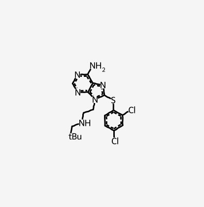 CC(C)(C)CNCCn1c(Sc2ccc(Cl)cc2Cl)nc2c(N)ncnc21